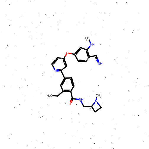 CCc1cc(-c2cc(Oc3ccc(C=N)c(NC)c3)ccn2)ccc1C(=O)NC[C@@H]1CCN1C